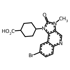 Cn1c(=O)n(C2CCC(C(=O)O)CC2)c2c3cc(Br)ccc3ncc21